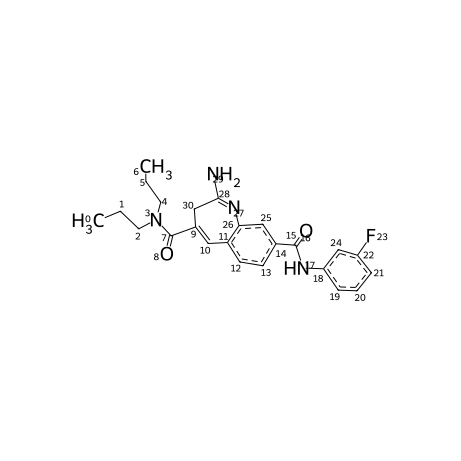 CCCN(CCC)C(=O)C1=Cc2ccc(C(=O)Nc3cccc(F)c3)cc2N=C(N)C1